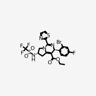 CCOC(=O)C1=C2C[C@H](NS(=O)(=O)C(F)(F)F)CN2C(c2nccs2)=N[C@H]1c1ccc(F)cc1Br